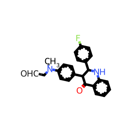 CN(CC=O)c1ccc(C2C(=O)c3ccccc3NC2c2ccc(F)cc2)cc1